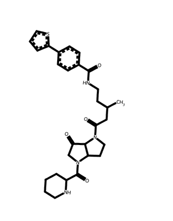 CC(CCNC(=O)c1ccc(-c2cccs2)cc1)CC(=O)N1CCC2C1C(=O)CN2C(=O)C1CCCCN1